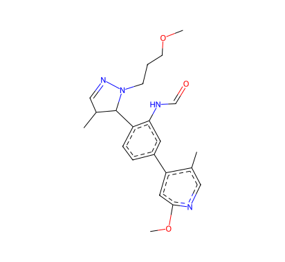 COCCCN1N=CC(C)C1c1ccc(-c2cc(OC)ncc2C)cc1NC=O